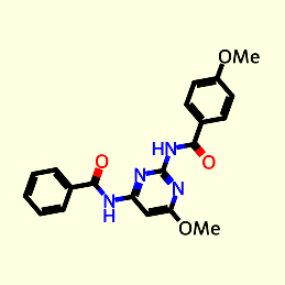 COc1ccc(C(=O)Nc2nc(NC(=O)c3ccccc3)cc(OC)n2)cc1